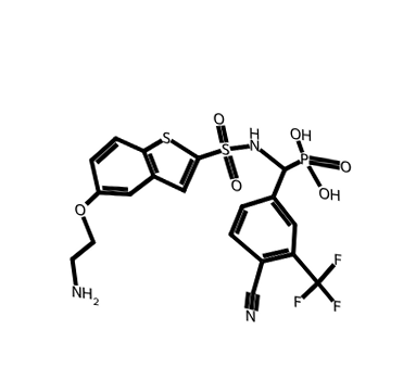 N#Cc1ccc(C(NS(=O)(=O)c2cc3cc(OCCN)ccc3s2)P(=O)(O)O)cc1C(F)(F)F